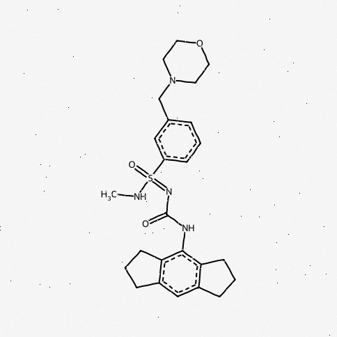 CNS(=O)(=NC(=O)Nc1c2c(cc3c1CCC3)CCC2)c1cccc(CN2CCOCC2)c1